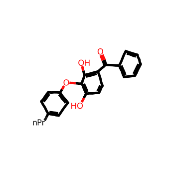 CCCc1ccc(Oc2c(O)ccc(C(=O)c3ccccc3)c2O)cc1